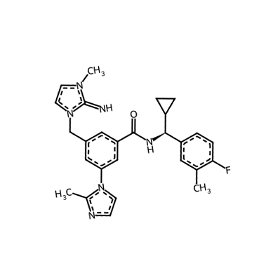 Cc1cc([C@@H](NC(=O)c2cc(Cn3ccn(C)c3=N)cc(-n3ccnc3C)c2)C2CC2)ccc1F